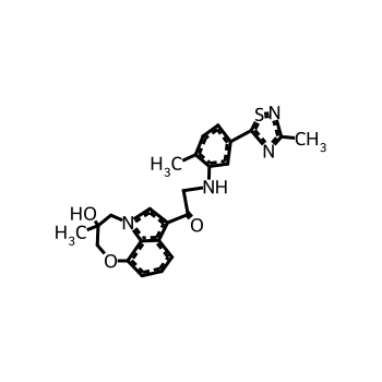 Cc1nsc(-c2ccc(C)c(NCC(=O)c3cn4c5c(cccc35)OCC(C)(O)C4)c2)n1